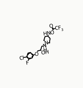 O=C(ONC1CCN(NCC(O)COc2ccc(Cl)c(F)c2)CC1)C(F)(F)F